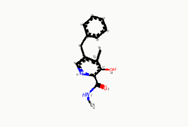 CCNC(=O)c1ncc(Cc2ccccc2)c(C)c1O